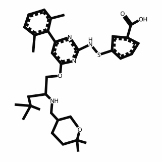 Cc1cccc(C)c1-c1cc(OCC(CC(C)(C)C)NCC2CCC(C)(C)OC2)nc(NSc2cccc(C(=O)O)c2)n1